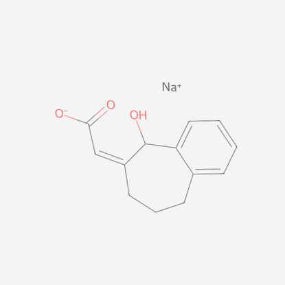 O=C([O-])C=C1CCCc2ccccc2C1O.[Na+]